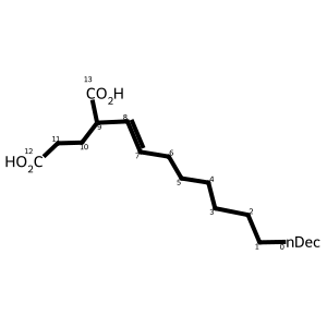 CCCCCCCCCCCCCCCCC=CC(CCC(=O)O)C(=O)O